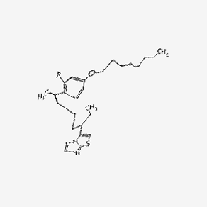 CCCCCCCCOc1ccc(C(C)CCCC(CC)c2csc3nccn23)c(F)c1